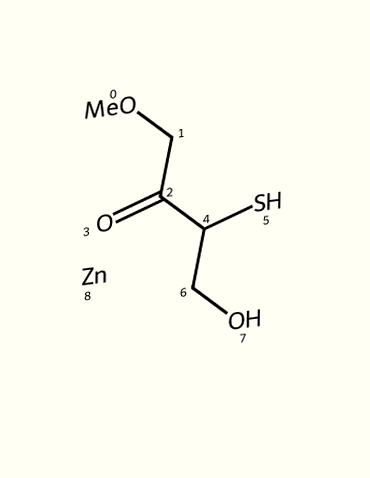 COCC(=O)C(S)CO.[Zn]